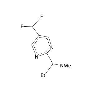 CCC(NC)c1ncc(C(F)F)cn1